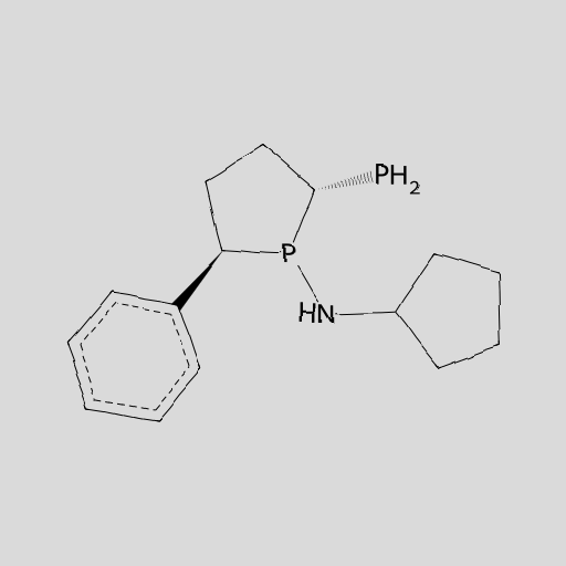 P[C@H]1CC[C@H](c2ccccc2)P1NC1CCCC1